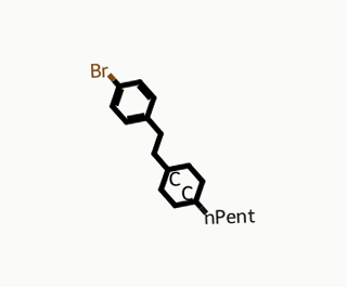 CCCCCC12CCC(CCc3ccc(Br)cc3)(CC1)CC2